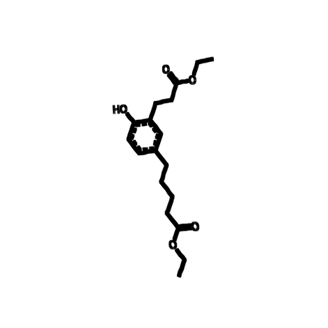 CCOC(=O)CCCCc1ccc(O)c(CCC(=O)OCC)c1